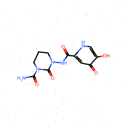 NC(=O)N1CCCN(NC(=O)c2cc(=O)c(O)c[nH]2)C1=O